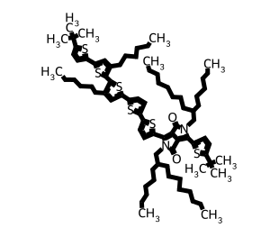 CCCCCCCCC(CCCCCC)CN1C(=O)C2=C(c3ccc(C(C)(C)C)s3)N(CC(CCCCCC)CCCCCCCC)C(=O)C2=C1c1ccc(-c2ccc(-c3cc(CCCCCC)c(-c4sc(-c5ccc(C(C)(C)C)s5)cc4CCCCCC)s3)s2)s1